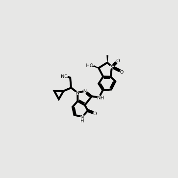 C[C@@H]1[C@H](O)c2cc(Nc3nn(C(CC#N)C4CC4)c4cc[nH]c(=O)c34)ccc2S1(=O)=O